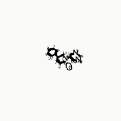 O=c1ccc(-c2ccccc2)cn1-c1cncnc1